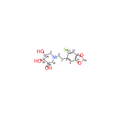 O[C@H]1[C@H](O)CN(CCc2cc3c(cc2F)OCO3)C[C@@H]1O